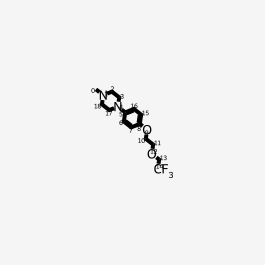 CN1CCN(c2ccc(OCCOCC(F)(F)F)cc2)CC1